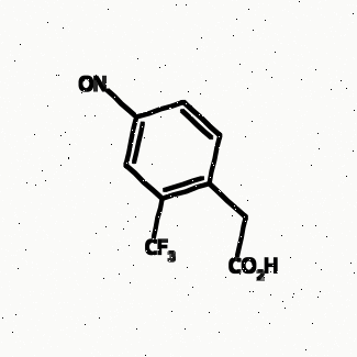 O=Nc1ccc(CC(=O)O)c(C(F)(F)F)c1